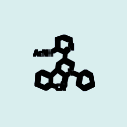 CC(=O)Nc1cccnc1-c1cc(-c2ccccc2C#N)c(=O)n(-c2ccccc2)c1